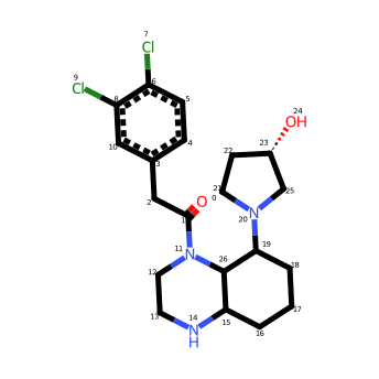 O=C(Cc1ccc(Cl)c(Cl)c1)N1CCNC2CCCC(N3CC[C@H](O)C3)C21